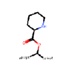 CCCCCCCC(CCCCCCC)OC(=O)C1CCCCN1